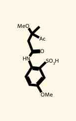 COc1ccc(NC(=O)CC(C)(OC)C(C)=O)c(S(=O)(=O)O)c1